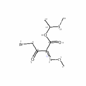 CO/N=C(/C(=O)CBr)C(=O)OC(C)SC